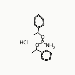 CC(OP(N)OC(C)c1ccccc1)c1ccccc1.Cl